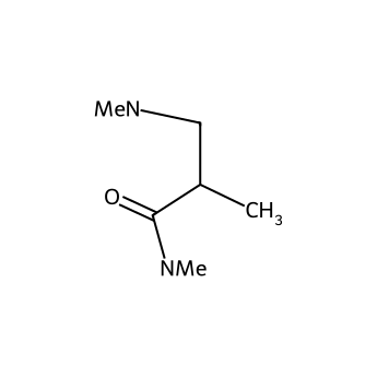 CNCC(C)C(=O)NC